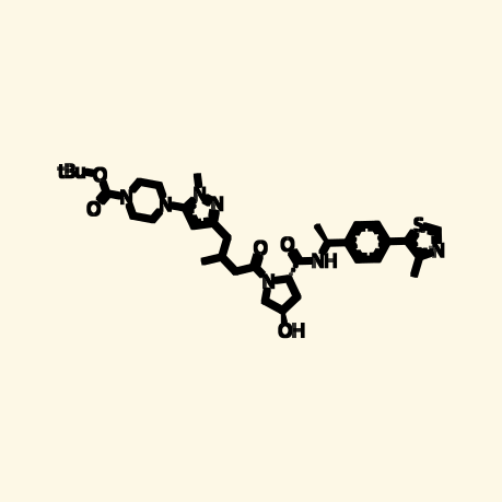 Cc1ncsc1-c1ccc([C@H](C)NC(=O)[C@@H]2C[C@@H](O)CN2C(=O)CC(C)Cc2cc(N3CCN(C(=O)OC(C)(C)C)CC3)n(C)n2)cc1